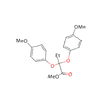 CCC(Oc1ccc(OC)cc1)(Oc1ccc(OC)cc1)C(=O)OC